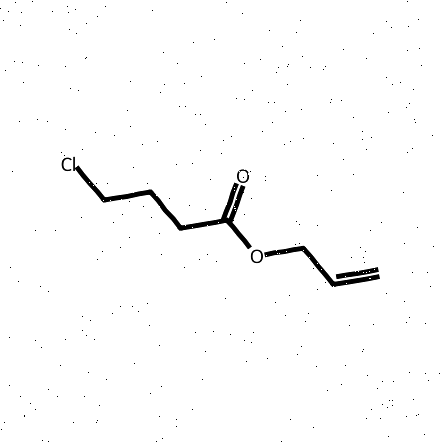 C=CCOC(=O)CCCCl